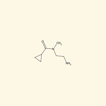 CN(CCN)C(=O)C1CC1